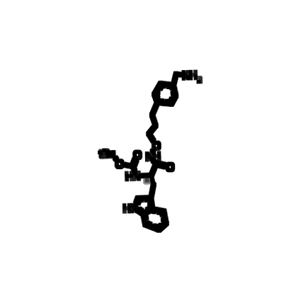 CC(C)(C)OC(=O)N[C@H](Cc1c[nH]c2ccccc12)C(=O)NOCCCc1ccc(CN)cc1